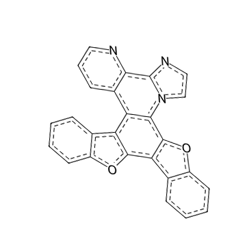 c1ccc2c(c1)oc1c2c2oc3ccccc3c2c2c3cccnc3c3nccn3c12